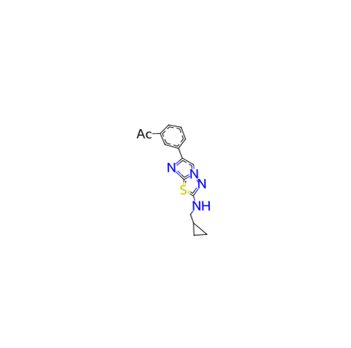 CC(=O)c1cccc(-c2cn3nc(NCC4CC4)sc3n2)c1